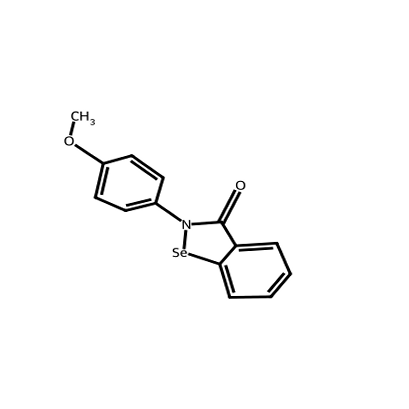 COc1ccc(-n2[se]c3ccccc3c2=O)cc1